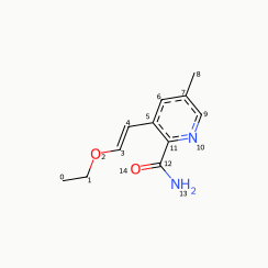 CCO/C=C/c1cc(C)cnc1C(N)=O